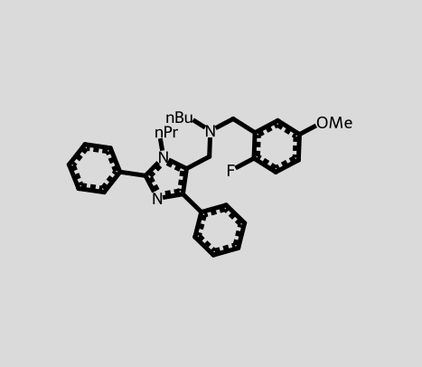 CCCCN(Cc1cc(OC)ccc1F)Cc1c(-c2ccccc2)nc(-c2ccccc2)n1CCC